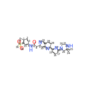 Cc1ccc(NC(=O)Cc2cc3nc(-c4cccc(N5CCNC6(CC6)C5)n4)ccc3cn2)cc1S(C)(=O)=O